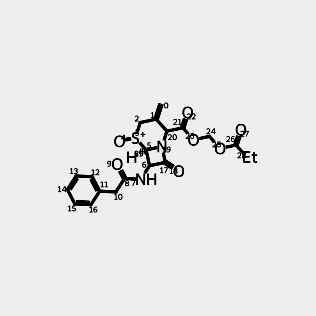 C=C1C[S+]([O-])[C@@H]2C(NC(=O)Cc3ccccc3)C(=O)N2C1C(=O)OCOC(=O)CC